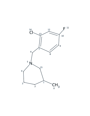 CC1CCCN(Cc2ccc(F)cc2Cl)C1